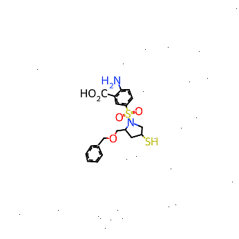 Nc1ccc(S(=O)(=O)N2CC(S)CC2COCc2ccccc2)cc1C(=O)O